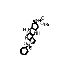 CC1(NC(=O)OC(C)(C)C)CCC(Nc2c(N)cnc3c2ccn3S(=O)(=O)c2ccccc2)CC1